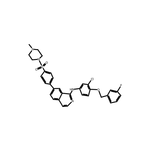 CN1CCN(S(=O)(=O)c2ccc(-c3ccc4ccnc(Nc5ccc(OCc6cccc(F)c6)c(Cl)c5)c4c3)cc2)CC1